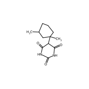 CC1CCCC(C)(C2C(=O)NC(=O)NC2=O)C1